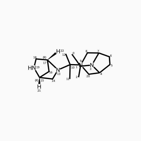 CC(C)N1C2CCC1CN(C(C)(C)N1C[C@H]3C[C@@H]1CN3)C2